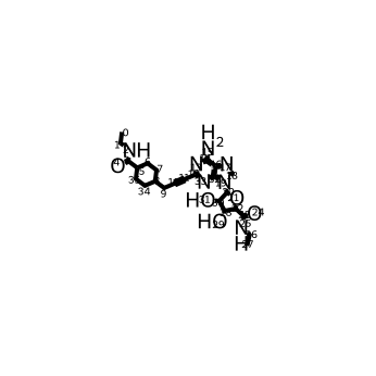 CCNC(=O)C1CCC(CC#Cc2nc(N)c3ncn(C4OC(C(=O)NCC)C(O)C4O)c3n2)CC1